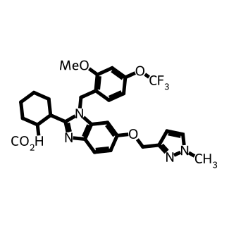 COc1cc(OC(F)(F)F)ccc1Cn1c(C2CCCCC2C(=O)O)nc2ccc(OCc3ccn(C)n3)cc21